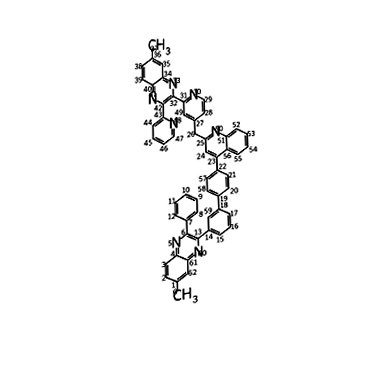 Cc1ccc2nc(-c3ccccc3)c(-c3cccc(-c4ccc(-c5cc(Cc6ccnc(-c7nc8cc(C)ccc8nc7-c7ccccn7)c6)nc6ccccc56)cc4)c3)nc2c1